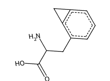 NC(Cc1cccc2c1C2)C(=O)O